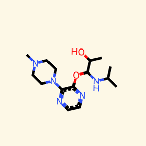 CC(C)NC(Oc1nccnc1N1CCN(C)CC1)C(C)O